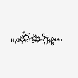 Cn1cc2cc(-c3nc4sc(C5CCN(C(=O)OC(C)(C)C)CC5O)cc4s3)cc(F)c2n1